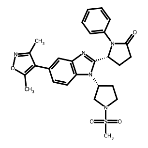 Cc1noc(C)c1-c1ccc2c(c1)nc([C@H]1CCC(=O)N1c1ccccc1)n2[C@@H]1CCN(S(C)(=O)=O)C1